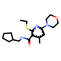 CCSc1nc(N2CCOCC2)cc(C)c1C(=O)NCC1CCCC1